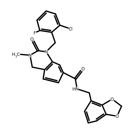 CN1Cc2ccc(C(=O)NCc3cccc4c3OCO4)cc2N(Cc2c(F)cccc2Cl)C1=O